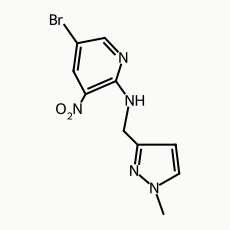 Cn1ccc(CNc2ncc(Br)cc2[N+](=O)[O-])n1